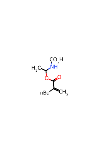 C=C(CCCC)C(=O)OC(C)NC(=O)O